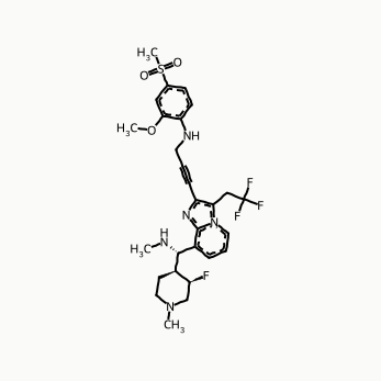 CN[C@H](c1cccn2c(CC(F)(F)F)c(C#CCNc3ccc(S(C)(=O)=O)cc3OC)nc12)[C@@H]1CCN(C)C[C@@H]1F